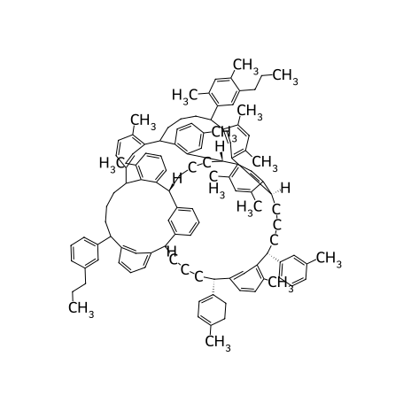 CCCc1cccc(C2CCCC3c4ccc(C)c(c4)C4CCCC(c5cc(CCC)c(C)cc5C)c5cc(c(C)cc5C)[C@@H]5CCC[C@H](c6cccc(C)c6)c6cc(ccc6C)[C@H](C6=CC=C(C)CC6)CCC[C@H](c6cccc2c6)c2cccc(c2)[C@@H](CCC[C@@H](c2cc5c(C)cc2C)c2cc(C)ccc24)c2cccc(C)c23)c1